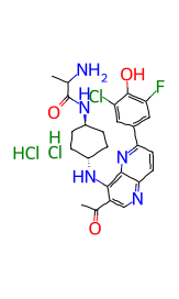 CC(=O)c1cnc2ccc(-c3cc(F)c(O)c(Cl)c3)nc2c1N[C@H]1CC[C@H](NC(=O)C(C)N)CC1.Cl.Cl